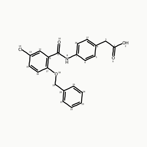 O=C(O)Cc1ccc(NC(=O)c2cc(Cl)ccc2OCc2ccccc2)cc1